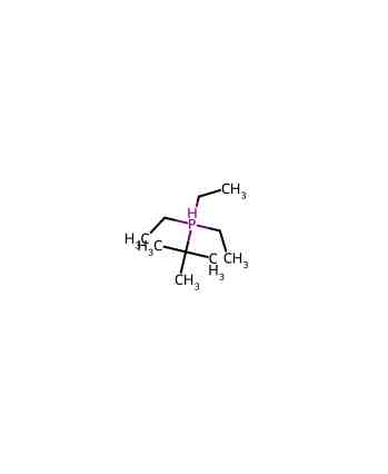 CC[PH](CC)(CC)C(C)(C)C